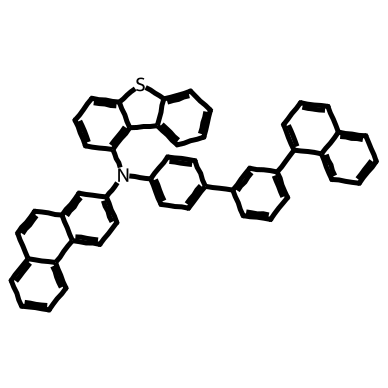 c1cc(-c2ccc(N(c3ccc4c(ccc5ccccc54)c3)c3cccc4sc5ccccc5c34)cc2)cc(-c2cccc3ccccc23)c1